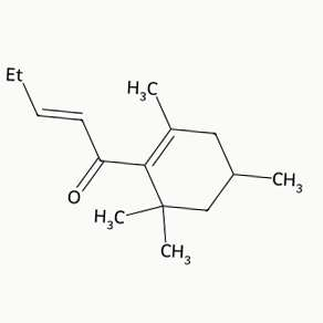 CCC=CC(=O)C1=C(C)CC(C)CC1(C)C